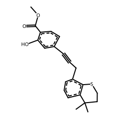 COC(=O)c1ccc(C#CCc2cccc3c2SCCC3(C)C)cc1O